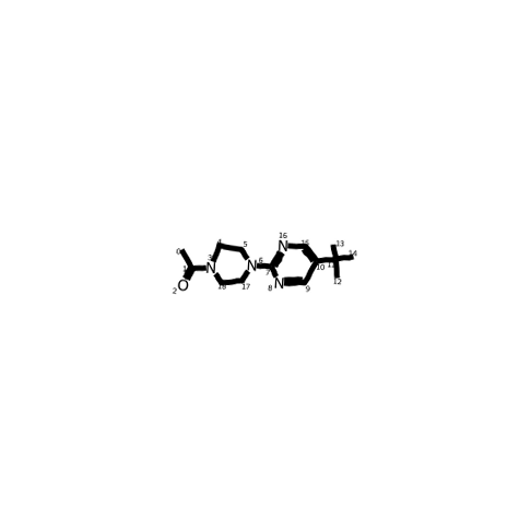 CC(=O)N1CCN(c2ncc(C(C)(C)C)cn2)CC1